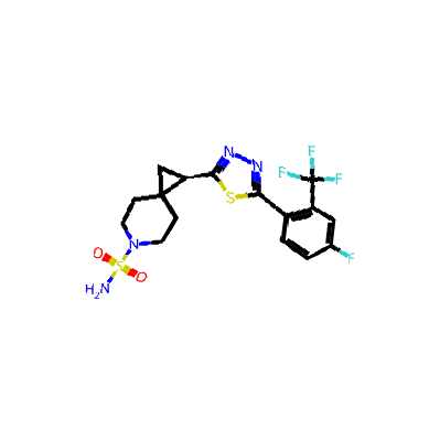 NS(=O)(=O)N1CCC2(CC1)C[C@H]2c1nnc(-c2ccc(F)cc2C(F)(F)F)s1